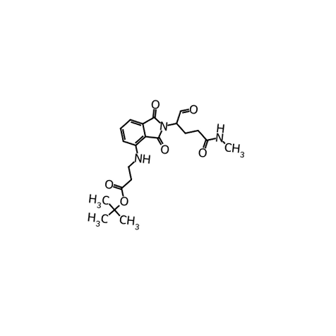 CNC(=O)CCC(C=O)N1C(=O)c2cccc(NCCC(=O)OC(C)(C)C)c2C1=O